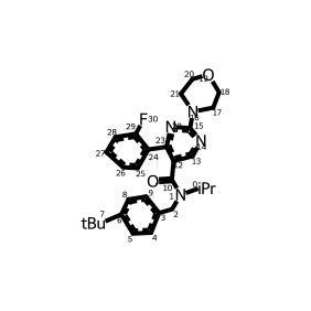 CC(C)N(Cc1ccc(C(C)(C)C)cc1)C(=O)c1cnc(N2CCOCC2)nc1-c1ccccc1F